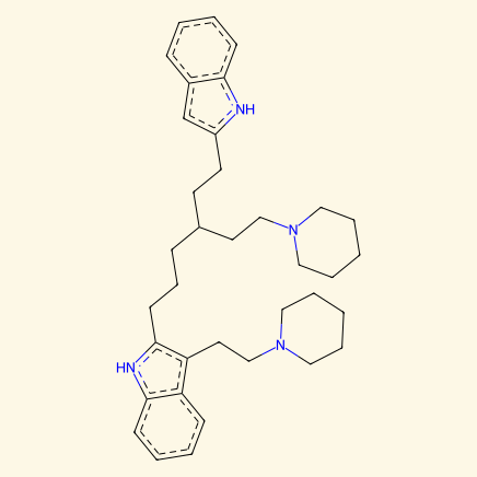 c1ccc2[nH]c(CCC(CCCc3[nH]c4ccccc4c3CCN3CCCCC3)CCN3CCCCC3)cc2c1